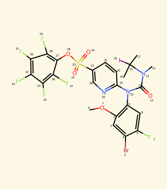 COc1cc(Br)c(F)cc1N(C(=O)N(C)C(C)(C)I)c1ccc(S(=O)(=O)Oc2c(F)c(F)c(F)c(F)c2F)cn1